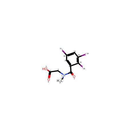 CN(CC(=O)O)C(=O)c1cc(I)cc(I)c1I